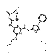 C=C(/C=C(\NC)Nc1cc(OCCC)nc(NCc2cc(-c3ccccc3)no2)n1)C1CC1